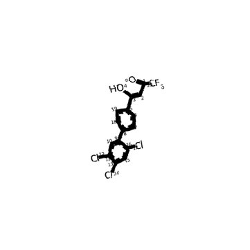 O=C(/C=C(\O)c1ccc(-c2cc(Cl)c(Cl)cc2Cl)cc1)C(F)(F)F